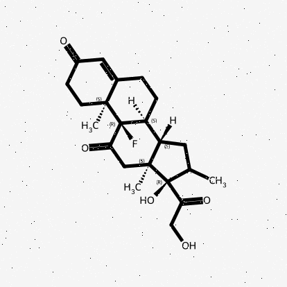 CC1C[C@H]2[C@@H]3CCC4=CC(=O)CC[C@]4(C)[C@@]3(F)C(=O)C[C@]2(C)[C@@]1(O)C(=O)CO